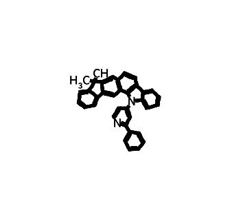 CC1(C)c2ccccc2-c2cc3c(ccc4c5ccccc5n(-c5ccnc(-c6ccccc6)c5)c34)cc21